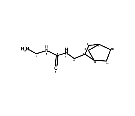 NCNC(=O)NCC1CC2CCC1C2